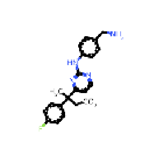 CC(CC(=O)O)(c1ccc(F)cc1)c1ccnc(Nc2ccc(CN)cc2)n1